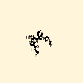 CNc1cc(-c2cn([C@H]3CCN(CCF)C3)c3cnccc23)nc2c(C(=O)N[C@@H]3C[C@@H]3F)cnn12